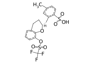 Cc1ccc(S(=O)(=O)O)c(C[C@H]2CCc3cccc(OS(=O)(=O)C(F)(F)F)c3O2)c1